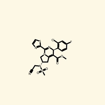 COC(=O)C1=C2C[C@H](N(CC#N)S(C)(=O)=O)CN2C(c2nccs2)=N[C@H]1c1ccc(F)cc1Cl